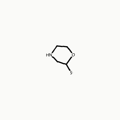 [S]C1CNCCO1